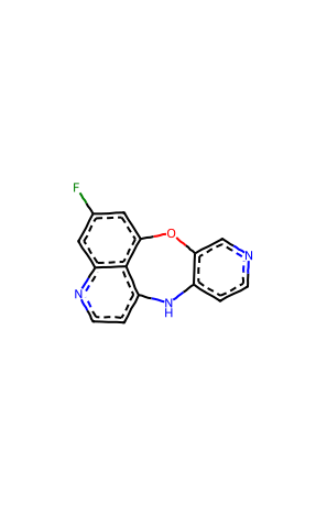 Fc1cc2c3c(ccnc3c1)Nc1ccncc1O2